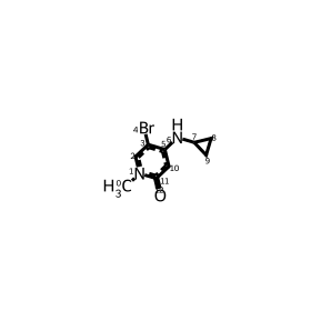 Cn1cc(Br)c(NC2CC2)cc1=O